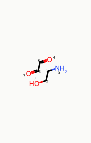 NCCO.O=CC=O